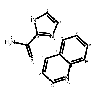 NC(=S)c1ncc[nH]1.c1ccc2ncccc2c1